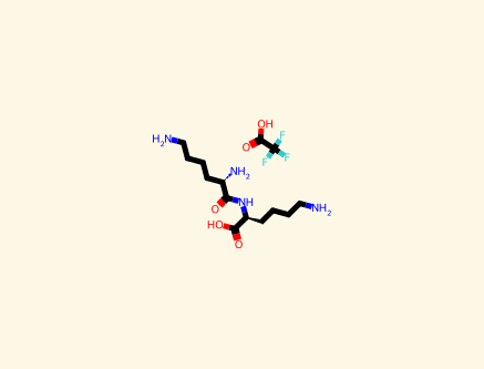 NCCCC[C@H](NC(=O)[C@@H](N)CCCCN)C(=O)O.O=C(O)C(F)(F)F